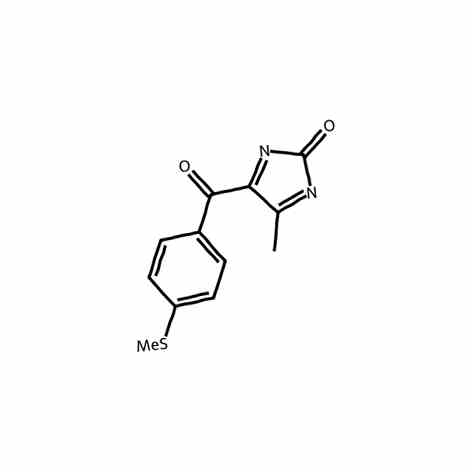 CSc1ccc(C(=O)C2=NC(=O)N=C2C)cc1